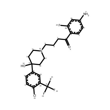 Nc1ccc(C(=O)CCCN2CCC(O)(c3ccc(Cl)c(C(F)(F)F)c3)CC2)c(F)c1